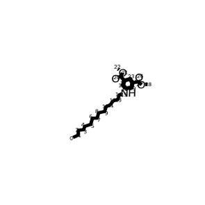 CCCCCCCCCCCCCCCNc1cc(C(=O)OC)cc(C(=O)OC)c1